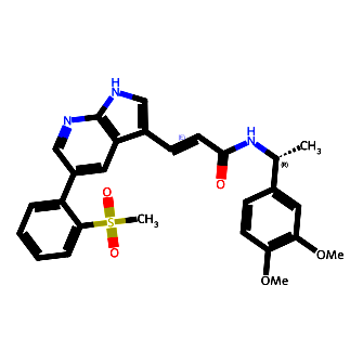 COc1ccc([C@@H](C)NC(=O)/C=C/c2c[nH]c3ncc(-c4ccccc4S(C)(=O)=O)cc23)cc1OC